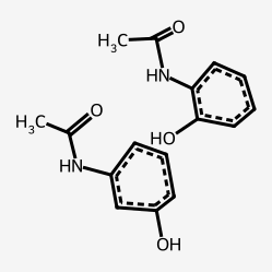 CC(=O)Nc1cccc(O)c1.CC(=O)Nc1ccccc1O